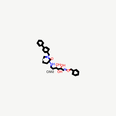 CO[C@H](CN[C@H]1CCCCN(Cc2ccc(-c3ccccc3)cc2)C1=O)[C@H](O)[C@@H](O)[C@@H](O)C=NOCc1ccccc1